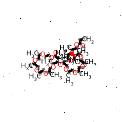 C=CC(=O)OCCOC(C)COC(C)COC(C)COC(C)COC(C)COC(C)COC(C)COC(C)COC(C)COC(C)COC(C)COC(C)COC(C)COC(=O)C=C